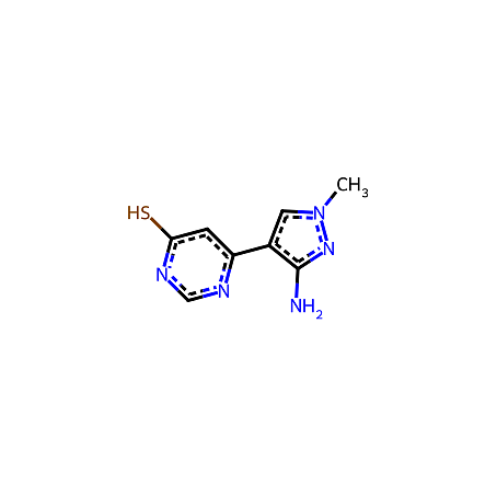 Cn1cc(-c2cc(S)ncn2)c(N)n1